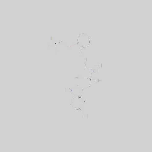 CC(C)(Cc1c[nH]c2ccc(Cl)cc12)NCCOc1ccccc1OCC(F)(F)F.Cl